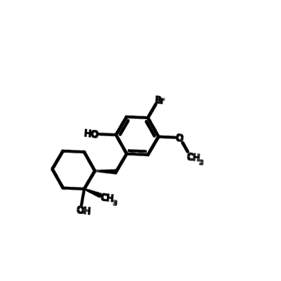 COc1cc(C[C@@H]2CCCC[C@@]2(C)O)c(O)cc1Br